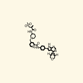 C=C(CS(C)(=O)=O)C(=O)N[C@@H]1CCCN(Cc2ccnc(C(=O)Nc3ccc(-c4cc5c(N6[C@@H]7CC[C@H]6COC7)ncnc5[nH]4)cc3)c2)C1